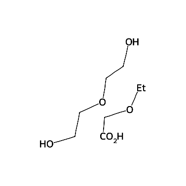 CCOCC(=O)O.OCCOCCO